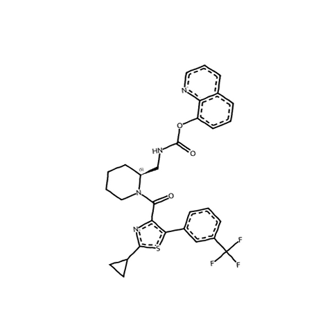 O=C(NC[C@@H]1CCCCN1C(=O)c1nc(C2CC2)sc1-c1cccc(C(F)(F)F)c1)Oc1cccc2cccnc12